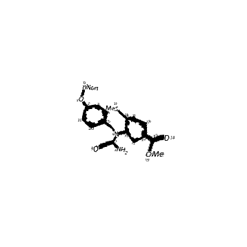 CCCCCCCCCOc1ccc(N(C(N)=O)c2cc(C(=O)OC)ccc2SC)cc1